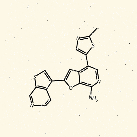 Cc1ncc(-c2cnc(N)c3oc(-c4csc5cnccc45)cc23)s1